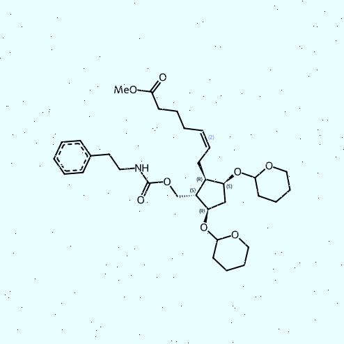 COC(=O)CCC/C=C\C[C@@H]1[C@@H](COC(=O)NCCc2ccccc2)[C@H](OC2CCCCO2)C[C@@H]1OC1CCCCO1